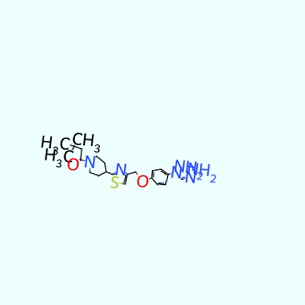 CC(C)(C)CC(=O)N1CCC(c2nc(COc3ccc(N(N)/C=N\N)cc3)cs2)CC1